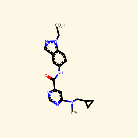 CCCN(CC1CC1)c1cc(C(=O)Nc2ccc3c(cnn3CC(=O)O)c2)ncn1